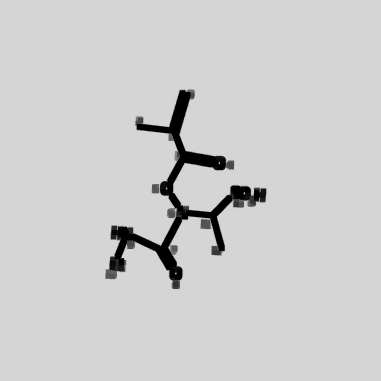 C=C(C)C(=O)ON(C(=O)NCC)C(C)S(=O)(=O)O